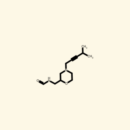 CC(C)C#CCN1CCOC(CNC=O)C1